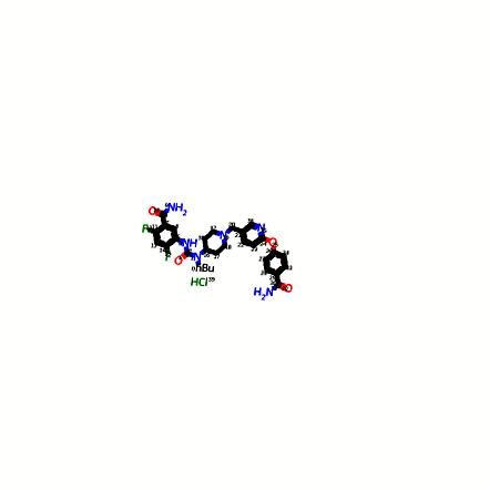 CCCCN(C(=O)Nc1cc(C(N)=O)c(F)cc1F)C1CCN(Cc2ccc(Oc3ccc(C(N)=O)cc3)nc2)CC1.Cl